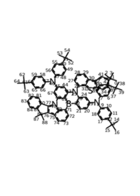 CC(C)(C)c1ccc(N(c2ccc(C(C)(C)C)cc2)c2ccc3c(c2)N(c2cccc4c2sc2cc(C(C)(C)C)ccc24)c2cc(N(c4ccc(C(C)(C)C)cc4)c4ccc(C(C)(C)C)cc4)cc4c2B3c2cccc3c5c(n-4c23)-c2ccccc2C5(C)C)cc1